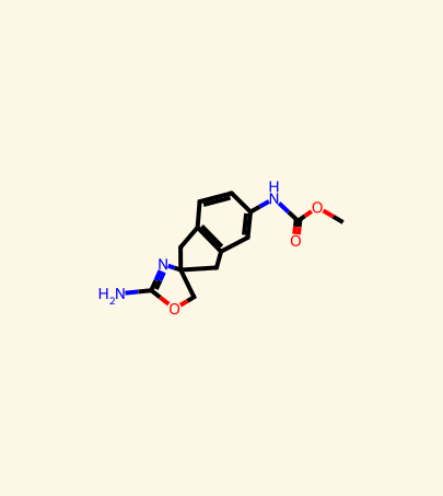 COC(=O)Nc1ccc2c(c1)CC1(COC(N)=N1)C2